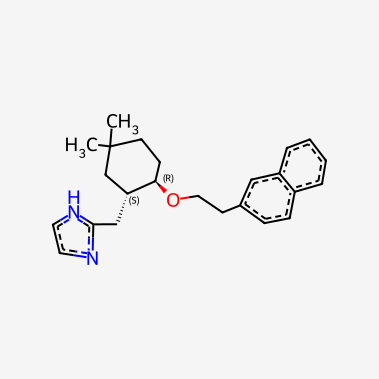 CC1(C)CC[C@@H](OCCc2ccc3ccccc3c2)[C@H](Cc2ncc[nH]2)C1